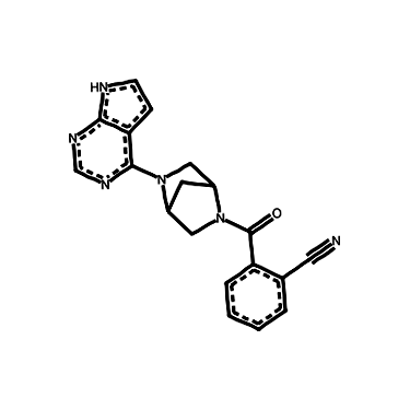 N#Cc1ccccc1C(=O)N1CC2CC1CN2c1ncnc2[nH]ccc12